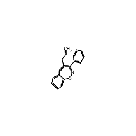 C=CCC1=Cc2ccccc2SN=C1c1ccccc1